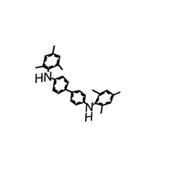 Cc1cc(C)c(Nc2ccc(-c3ccc(Nc4c(C)cc(C)cc4C)cc3)cc2)c(C)c1